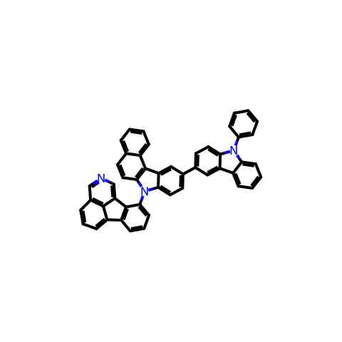 c1ccc(-n2c3ccccc3c3cc(-c4ccc5c(c4)c4c6ccccc6ccc4n5-c4cccc5c4-c4cncc6cccc-5c46)ccc32)cc1